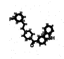 O=C(c1ccc2[nH]c3ccccc3c2c1)N1CCN(CCc2cccc(F)c2)CC1